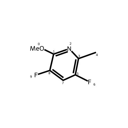 COc1nc(C)c(F)cc1F